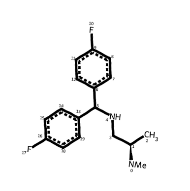 CN[C@H](C)CNC(c1ccc(F)cc1)c1ccc(F)cc1